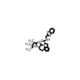 CC[C@H](C)[C@H](C)C(=O)N[C@H]1CCc2cccc3c2N(C1=O)[C@H](C(=O)NCC1=NC2C=CC=CC2S1)C3